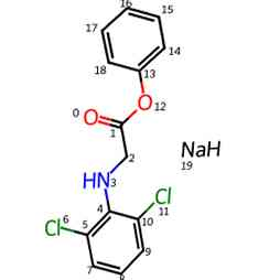 O=C(CNc1c(Cl)cccc1Cl)Oc1ccccc1.[NaH]